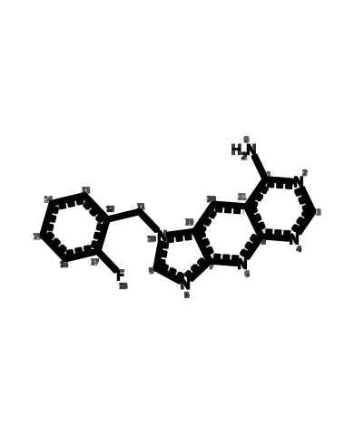 Nc1ncnc2nc3ncn(Cc4ccccc4F)c3cc12